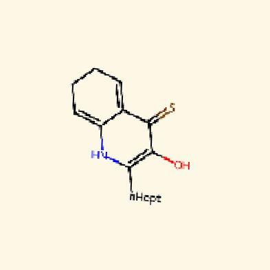 CCCCCCCc1[nH]c2c(c(=S)c1O)=CCCC=2